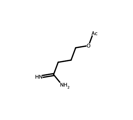 CC(=O)OCCCC(=N)N